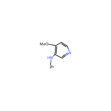 COc1ccncc1NC(C)C